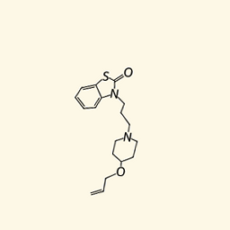 C=CCOC1CCN(CCCn2c(=O)sc3ccccc32)CC1